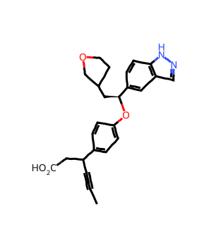 CC#CC(CC(=O)O)c1ccc(O[C@@H](CC2CCOC2)c2ccc3[nH]ncc3c2)cc1